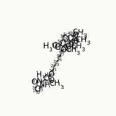 COc1cc(C2NC(=O)c3ccccc3N2)ccc1OCCCCCCCCCOc1c(OC)cc(/C=C\c2cc(OC)c(OC)c(OC)c2)cc1OC